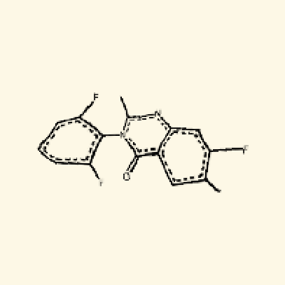 Cc1cc2c(=O)n(-c3c(F)cccc3F)c(C)nc2cc1F